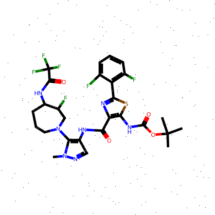 Cn1ncc(NC(=O)c2nc(-c3c(F)cccc3F)sc2NC(=O)OC(C)(C)C)c1N1CCCC(NC(=O)C(F)(F)F)C(F)C1